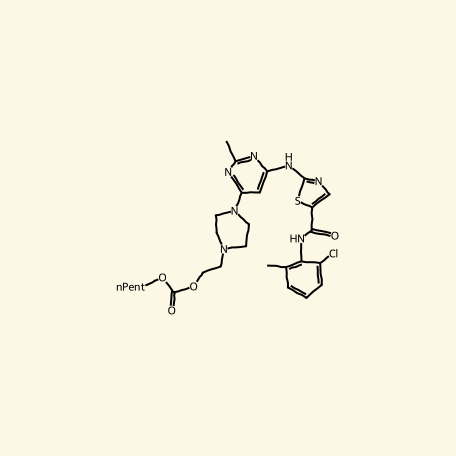 CCCCCOC(=O)OCCN1CCN(c2cc(Nc3ncc(C(=O)Nc4c(C)cccc4Cl)s3)nc(C)n2)CC1